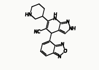 N#CC1=C(C2CCCNC2)Nc2n[nH]cc2C1c1cccc2nonc12